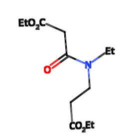 CCOC(=O)CCN(CC)C(=O)CC(=O)OCC